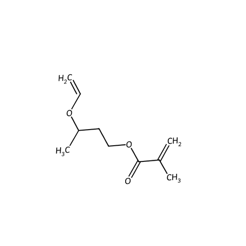 C=COC(C)CCOC(=O)C(=C)C